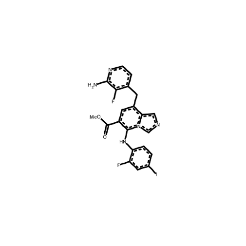 COC(=O)c1cc(Cc2ccnc(N)c2F)c2cncn2c1Nc1ccc(I)cc1F